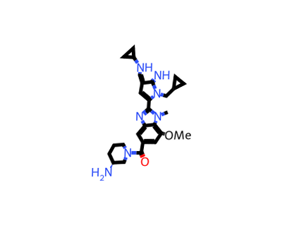 COc1cc(C(=O)N2CCC[C@@H](N)C2)cc2nc(C3=C/C(=C/NC4CC4)C(=N)N3CC3CC3)n(C)c12